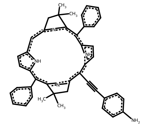 CC1(C)Cc2nc1c(-c1ccccc1)c1ccc(cc3nc(c(-c4ccccc4)c4ccc([nH]4)c2C#Cc2ccc(N)cc2)C(C)(C)C3)[nH]1